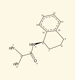 CCCC(CCC)C(=O)N[C@@H]1CCCc2ccccc21